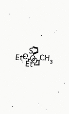 CC1CCO1.CCOC(CC)Oc1cccs1